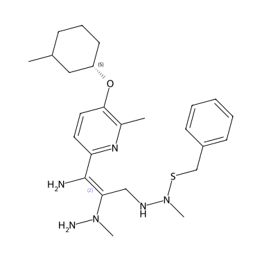 Cc1nc(/C(N)=C(\CNN(C)SCc2ccccc2)N(C)N)ccc1O[C@H]1CCCC(C)C1